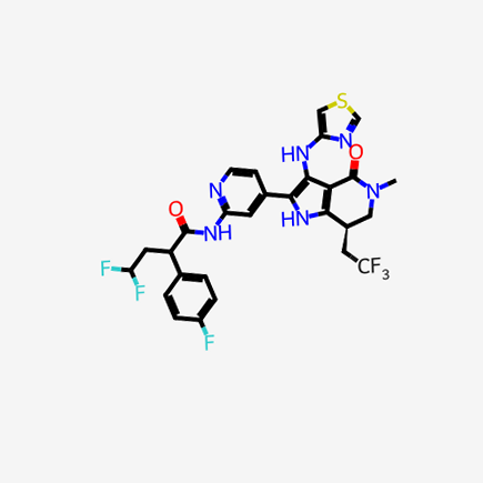 CN1C[C@@H](CC(F)(F)F)c2[nH]c(-c3ccnc(NC(=O)C(CC(F)F)c4ccc(F)cc4)c3)c(Nc3cscn3)c2C1=O